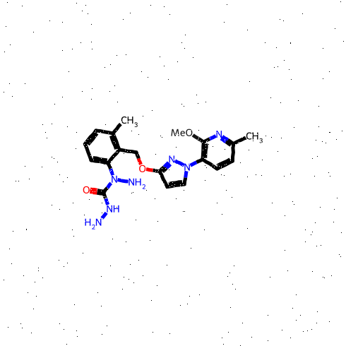 COc1nc(C)ccc1-n1ccc(OCc2c(C)cccc2N(N)C(=O)NN)n1